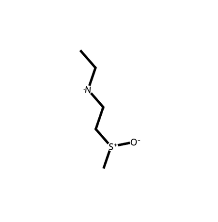 CC[N]CC[S+](C)[O-]